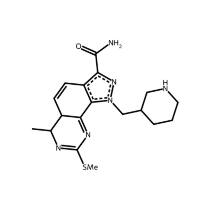 CSC1=NC(C)C2C=Cc3c(C(N)=O)nn(CC4CCCNC4)c3C2=N1